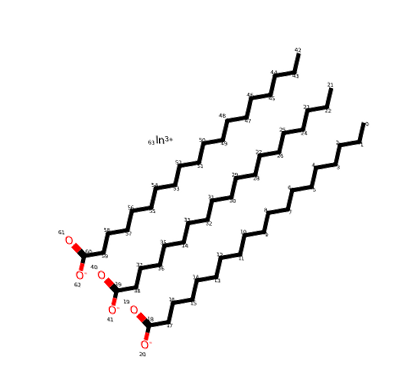 CCCCCCCCCCCCCCCCCCC(=O)[O-].CCCCCCCCCCCCCCCCCCC(=O)[O-].CCCCCCCCCCCCCCCCCCC(=O)[O-].[In+3]